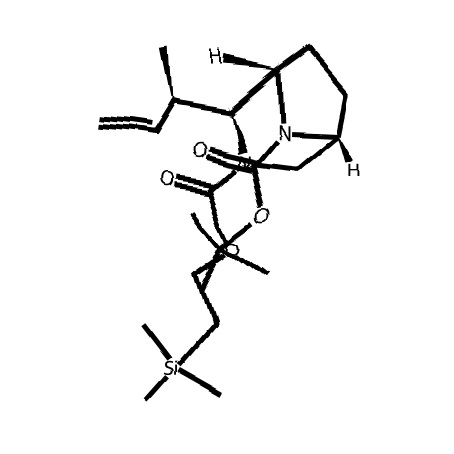 C=C[C@@H](C)[C@H]1[C@@H]2CC[C@H](CN1C(=O)OCC[Si](C)(C)C)N2C(=O)OC(C)(C)C